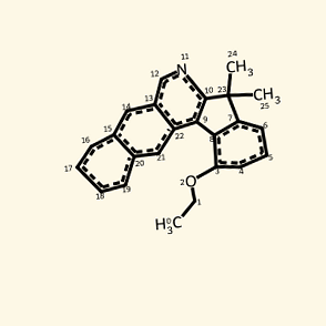 CCOc1cccc2c1-c1c(ncc3cc4ccccc4cc13)C2(C)C